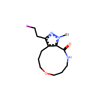 CCn1nc(CCI)c2c1C(=O)NCCCOCCC2